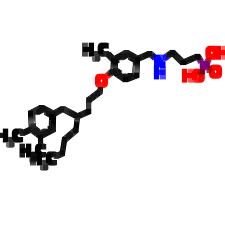 CCCCC(CCCOc1ccc(CNCCCP(=O)(O)O)cc1C)Cc1ccc(C)c(C)c1